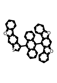 c1ccc2c(c1)oc1cc3scc(-c4c5ccccc5c(-c5c6c(cc7oc8ccccc8c57)oc5ccccc56)c5ccccc45)c3cc12